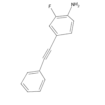 Nc1ccc(C#Cc2ccccc2)cc1F